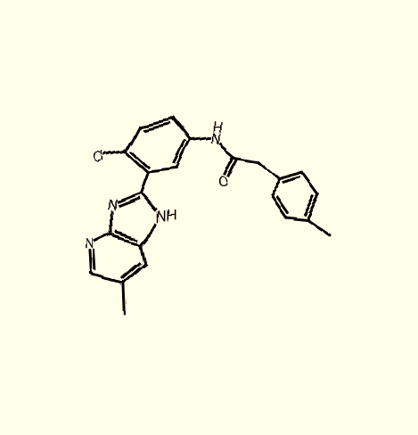 Cc1ccc(CC(=O)Nc2ccc(Cl)c(-c3nc4ncc(C)cc4[nH]3)c2)cc1